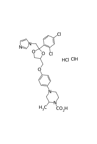 CC1CN(c2ccc(OCC3COC(Cn4ccnc4)(c4ccc(Cl)cc4Cl)O3)cc2)CCN1C(=O)O.Cl.Cl